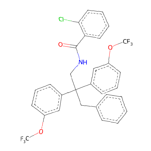 O=C(NCC(Cc1ccccc1)(c1cccc(OC(F)(F)F)c1)c1cccc(OC(F)(F)F)c1)c1ccccc1Cl